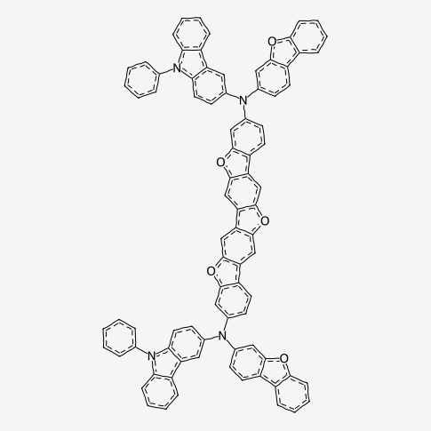 c1ccc(-n2c3ccccc3c3cc(N(c4ccc5c(c4)oc4ccccc45)c4ccc5c(c4)oc4cc6c(cc45)oc4cc5c(cc46)oc4cc(N(c6ccc7c(c6)oc6ccccc67)c6ccc7c(c6)c6ccccc6n7-c6ccccc6)ccc45)ccc32)cc1